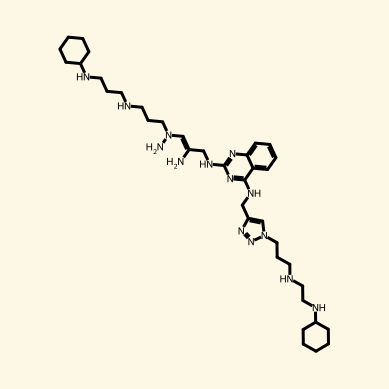 N/C(=C\N(N)CCCNCCCNC1CCCCC1)CNc1nc(NCc2cn(CCCNCCNC3CCCCC3)nn2)c2ccccc2n1